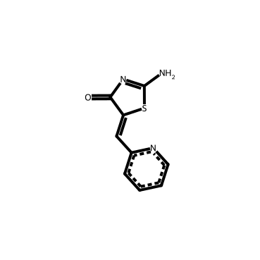 NC1=NC(=O)C(=Cc2ccccn2)S1